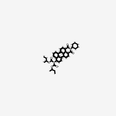 CCC(C)OC(=O)N(C(=O)OC(C)CC)c1ccc2c3ccc4c5c(ccc(c6cccc1c62)c53)C(=O)N(C1CCCCC1)C4=O